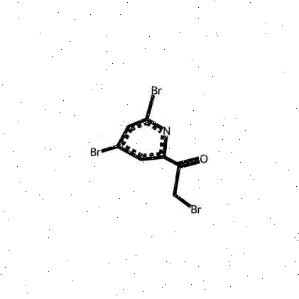 O=C(CBr)c1cc(Br)cc(Br)n1